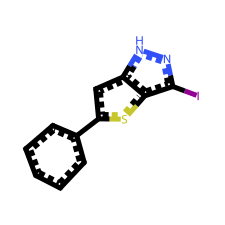 Ic1n[nH]c2cc(-c3ccccc3)sc12